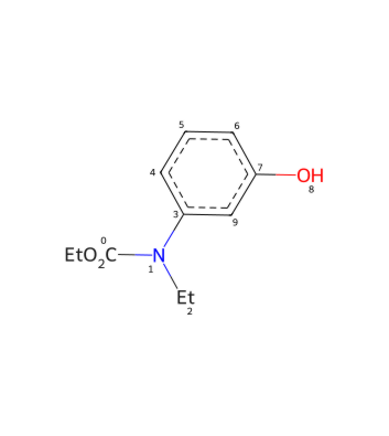 CCOC(=O)N(CC)c1cccc(O)c1